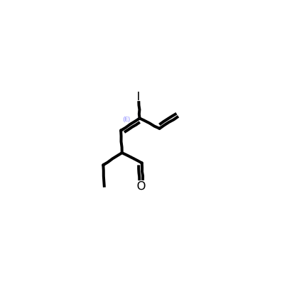 C=C/C(I)=C\C(C=O)CC